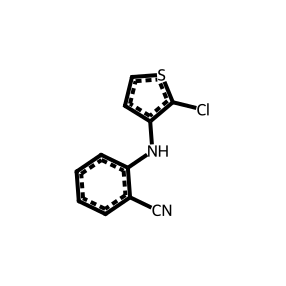 N#Cc1ccccc1Nc1ccsc1Cl